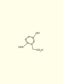 O=Cc1ccc(O)cc1CC(=O)O